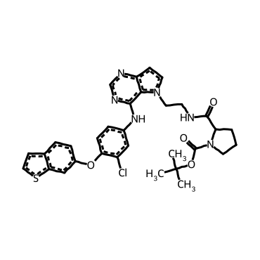 CC(C)(C)OC(=O)N1CCCC1C(=O)NCCn1ccc2ncnc(Nc3ccc(Oc4ccc5ccsc5c4)c(Cl)c3)c21